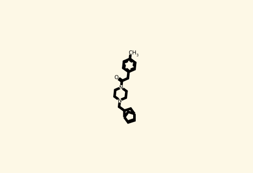 Cc1ccc(CC(=O)N2CCN(CC3CC4C=CC3C4)CC2)cc1